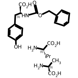 CC(C)[C@H](N)C(=O)O.C[C@H](N)C(=O)O.O=C(N[C@@H](Cc1ccc(O)cc1)C(=O)O)OCc1ccccc1